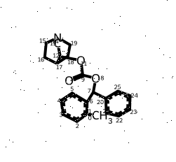 Cc1ccccc1C(OC(=O)OC1CN2CCC1CC2)c1ccccc1